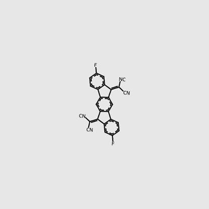 [C-]#[N+]/C(C#N)=C1\c2cc(F)ccc2-c2cc3c(cc21)-c1ccc(F)cc1/C3=C(\C#N)[N+]#[C-]